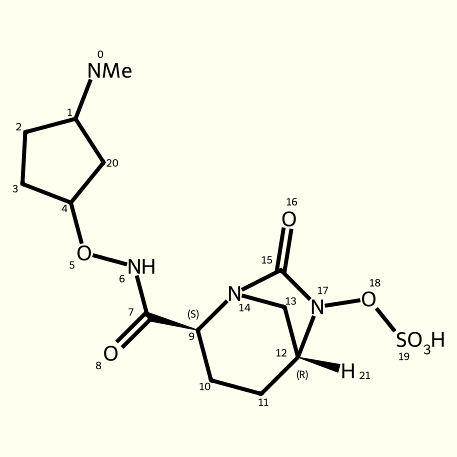 CNC1CCC(ONC(=O)[C@@H]2CC[C@@H]3CN2C(=O)N3OS(=O)(=O)O)C1